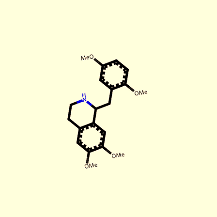 COc1ccc(OC)c(CC2NCCc3cc(OC)c(OC)cc32)c1